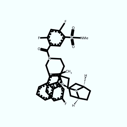 CNS(=O)(=O)c1cc(C(=O)N2CCC(CCN3[C@@H]4CC[C@H]3C[C@@H](n3c(C)nc5ccccc53)C4)(c3cccc(F)c3)CC2)c(F)cc1F